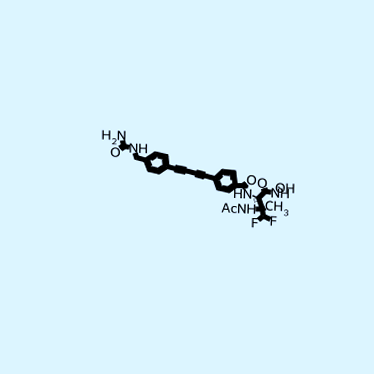 CC(=O)NC(C)(C(F)F)[C@H](NC(=O)c1ccc(C#CC#Cc2ccc(CNC(N)=O)cc2)cc1)C(=O)NO